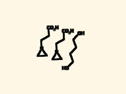 O=C(O)CCN1CC1.O=C(O)CCN1CC1.OCCCCO